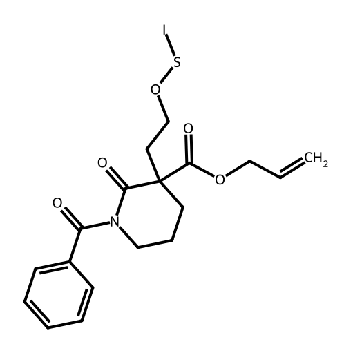 C=CCOC(=O)C1(CCOSI)CCCN(C(=O)c2ccccc2)C1=O